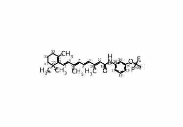 CC1=C(/C=C/C(C)=C/C=C/C(C)=C/C(=O)Nc2cccc(OC(F)(F)F)c2)C(C)(C)CCC1